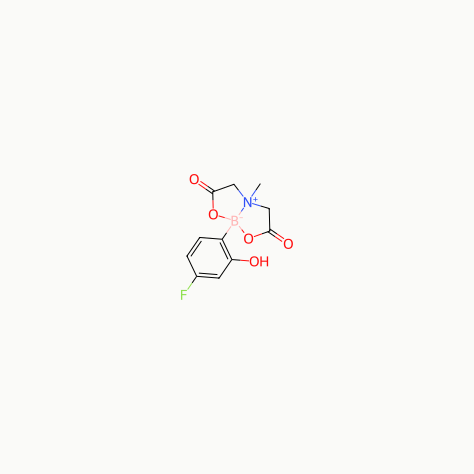 C[N+]12CC(=O)O[B-]1(c1ccc(F)cc1O)OC(=O)C2